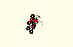 C=C(/N=C(\C1=C(C)c2ccccc2C12c1ccccc1N(c1ccccc1)c1ccccc12)c1ccc(-c2ccccc2)cc1)C(/C=C\Cc1ccccc1)=C/CC